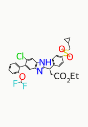 CCOC(=O)C[C@H](c1ccc(S(=O)(=O)CC2CC2)cc1)c1nc2cc(-c3ccccc3OC(F)F)c(Cl)cc2[nH]1